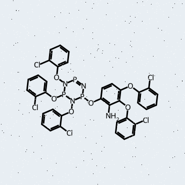 Nc1c(Op2npn(Oc3ccccc3Cl)p(Oc3ccccc3Cl)n2Oc2ccccc2Cl)ccc(Oc2ccccc2Cl)c1Oc1ccccc1Cl